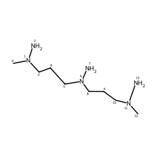 CN(N)CCCN(N)CCCN(C)N